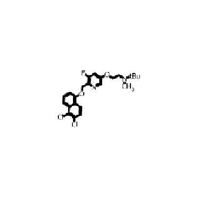 CN(CCOc1cnc(COc2cccc3c(Cl)c(Cl)ccc23)c(F)c1)C(C)(C)C